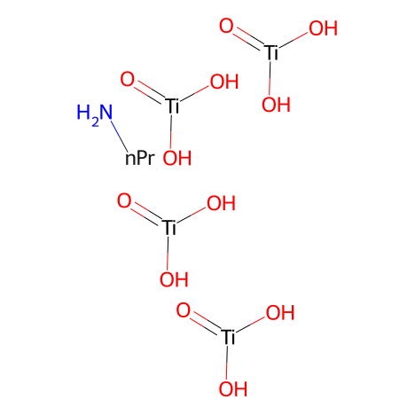 CCCN.[O]=[Ti]([OH])[OH].[O]=[Ti]([OH])[OH].[O]=[Ti]([OH])[OH].[O]=[Ti]([OH])[OH]